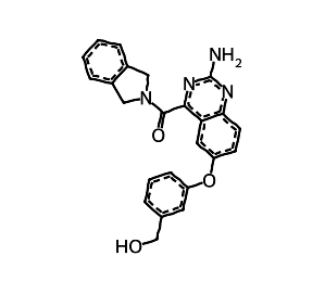 Nc1nc(C(=O)N2Cc3ccccc3C2)c2cc(Oc3cccc(CO)c3)ccc2n1